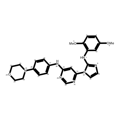 COc1ccc(OC)c(Nc2nccn2-c2cc(Nc3ccc(N4CCOCC4)cc3)ncn2)c1